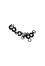 COc1ccc2c(=O)cc(C(=O)NC3CCN(Cc4ccc5ncccc5c4)CC3)oc2c1